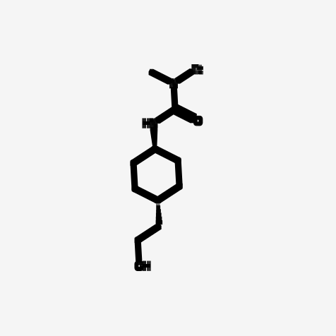 CCN(C)C(=O)N[C@H]1CC[C@H](CCO)CC1